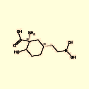 N[C@]1(C(=O)O)C[C@H](CCB(O)O)CCC1O